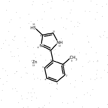 Cc1ccccc1-c1nc(S)c[nH]1.[Zn]